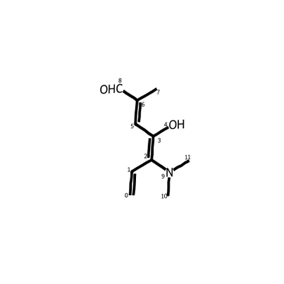 C=C/C(=C(O)\C=C(/C)C=O)N(C)C